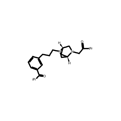 CC(C)C(=O)CN1C[C@@H]2C[C@H]1CN2CCCc1cccc(C(=O)C(C)C)c1